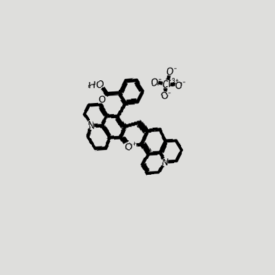 O=C(O)c1ccccc1-c1c2c3c(c4[o+]c5c(cc14)CC1=C4C=5C=CCN4CCC1)CCCN3CCC=2.[O-][Cl+3]([O-])([O-])[O-]